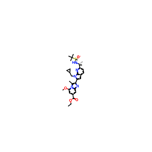 CCOC(=O)c1cc(OC)n2c(C)c(-c3cc4ccc([C@@H](C)N[S@@+]([O-])C(C)(C)C)nc4n3CC3CC3)nc2c1